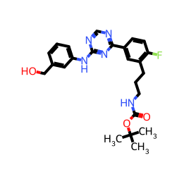 CC(C)(C)OC(=O)NCCCc1cc(-c2ncnc(Nc3cccc(CO)c3)n2)ccc1F